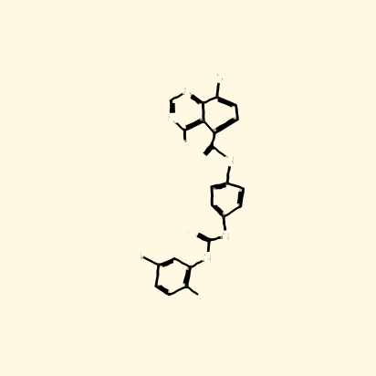 O=C(Nc1ccc(NC(=O)c2ccc([N+](=O)[O-])c3ncnc(O)c23)cc1)Nc1cc(Cl)ccc1Cl